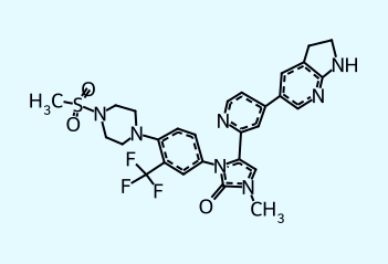 Cn1cc(-c2cc(-c3cnc4c(c3)CCN4)ccn2)n(-c2ccc(N3CCN(S(C)(=O)=O)CC3)c(C(F)(F)F)c2)c1=O